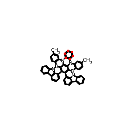 Cc1ccc2c(c1)N(c1ccccc1)c1c3c(c4c5c1N(c1ccccc1)c1cc(C)ccc1B5n1c5ccccc5c5cccc-4c51)-c1cccc4c5ccccc5n(c14)B23